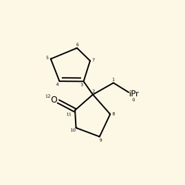 CC(C)CC1(C2=CCCC2)CCCC1=O